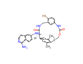 Cc1cc2cc(C)c1CCOC(=O)Nc1ccc(S)c(c1)CNC(=O)[C@@H]2Nc1ccc2c(N)nccc2c1